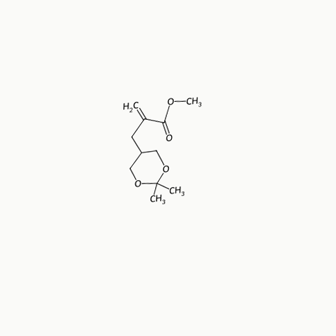 C=C(CC1COC(C)(C)OC1)C(=O)OC